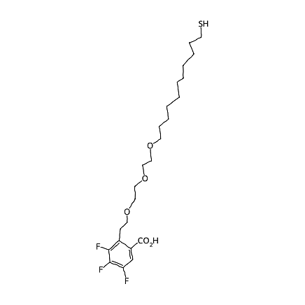 O=C(O)c1cc(F)c(F)c(F)c1CCOCCOCCOCCCCCCCCCCCS